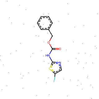 O=C(Nc1ncc(F)s1)OCc1ccccc1